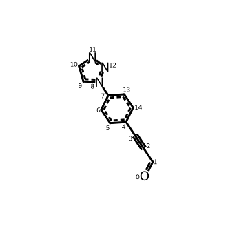 O=CC#Cc1ccc(-n2ccnn2)cc1